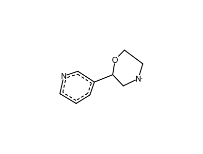 c1cncc(C2C[N]CCO2)c1